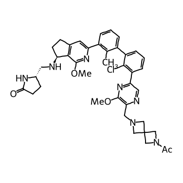 COc1nc(-c2cccc(-c3cccc(-c4cc5c(c(OC)n4)[C@@H](NC[C@@H]4CCC(=O)N4)CC5)c3C)c2Cl)cnc1CN1CC2(C1)CN(C(C)=O)C2